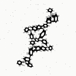 c1ccc(-n2c3ccccc3c3cc(-c4ccc5c(c4)c4ccccc4n5-c4cccc(-c5cc(-c6cccc(B7c8ccccc8Oc8ccccc87)c6)c(-c6cccc(-n7c8ccccc8c8cc(-c9ccc%10c(c9)c9ccccc9n%10-c9ccccc9)ccc87)c6)cc5-c5cccc(B6c7ccccc7Oc7ccccc76)c5)c4)ccc32)cc1